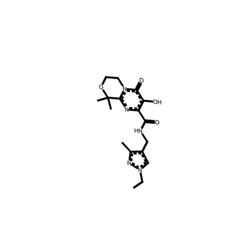 CCn1cc(CNC(=O)c2nc3n(c(=O)c2O)CCOC3(C)C)c(C)n1